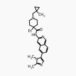 CCC1(C(=O)Nc2cc3cc(-c4cnc(C)n4C)ccc3cn2)CCN(CC2(C)CC2)CC1